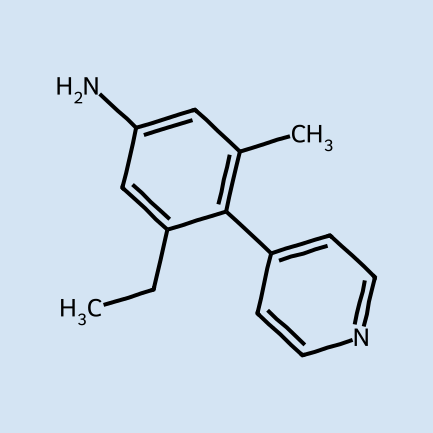 CCc1cc(N)cc(C)c1-c1ccncc1